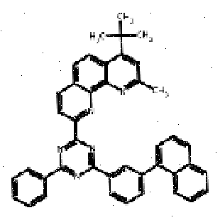 Cc1cc(C(C)(C)C)c2ccc3ccc(-c4nc(-c5ccccc5)nc(-c5cccc(-c6cccc7ccccc67)c5)n4)nc3c2n1